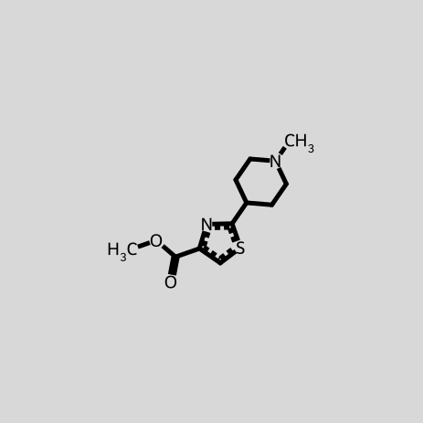 COC(=O)c1csc(C2CCN(C)CC2)n1